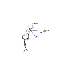 COCCN1C(=O)[C@]2(N=C1N)c1cc(C#CC3CC3)ccc1C[C@]21CC[C@@H](OC)CC1